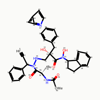 C#CC(c1ccccc1)N(NC[C@@](O)(Cc1ccccc1)C(=O)N(O)C1CCc2ccccc21)C(=O)[C@@H](NC(=O)OC)C(C)(C)C.c1cc2cc-2n1